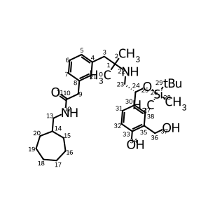 CC(C)(Cc1cccc(CC(=O)NCC2CCCCCC2)c1)NC[C@H](O[Si](C)(C)C(C)(C)C)c1ccc(O)c(CO)c1